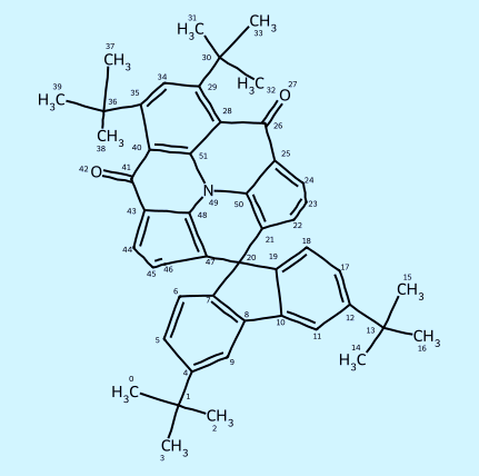 CC(C)(C)c1ccc2c(c1)-c1cc(C(C)(C)C)ccc1C21c2cccc3c(=O)c4c(C(C)(C)C)cc(C(C)(C)C)c5c(=O)c6cccc1c6n(c23)c45